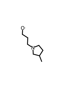 CC1CCN(CCC[O])C1